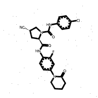 N#C[C@H]1C[C@H](C(=O)Nc2ccc(N3CCCCC3=O)cc2F)N(C(=O)Nc2ccc(Cl)cc2)C1